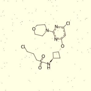 O=S(=O)(CCCCl)N[C@H]1C[C@H](Oc2cc(Cl)nc(N3CCOCC3)n2)C1